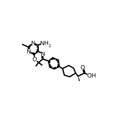 Cc1nc(N)c2c(n1)OC(C)(C)C(c1ccc(C3CCC([C@H](C)C(=O)O)CC3)cc1)=N2